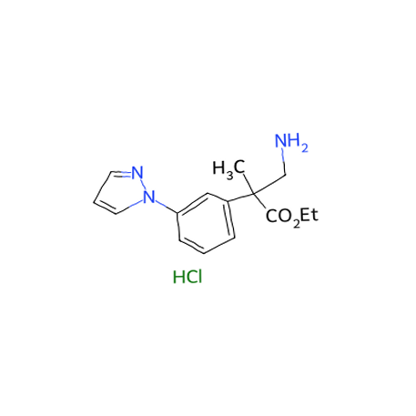 CCOC(=O)C(C)(CN)c1cccc(-n2cccn2)c1.Cl